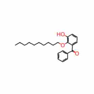 CCCCCCCCCCOc1c(O)cccc1C(=O)c1ccccc1